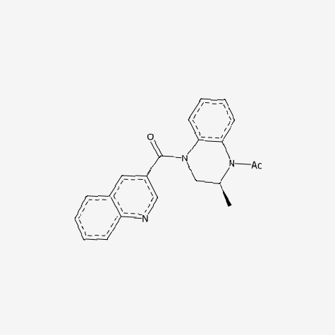 CC(=O)N1c2ccccc2N(C(=O)c2cnc3ccccc3c2)C[C@@H]1C